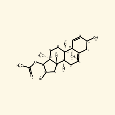 CC(=O)OC1C(Br)C[C@H]2[C@@H]3CC=C4CC(O)C=C[C@]4(C)[C@@H]3CC[C@]12C